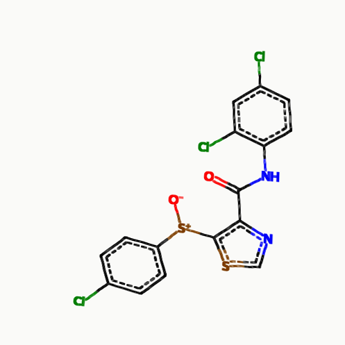 O=C(Nc1ccc(Cl)cc1Cl)c1ncsc1[S+]([O-])c1ccc(Cl)cc1